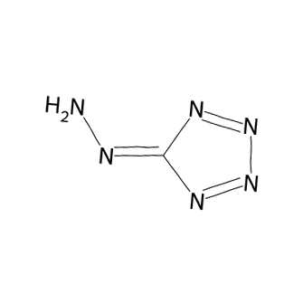 NN=C1N=NN=N1